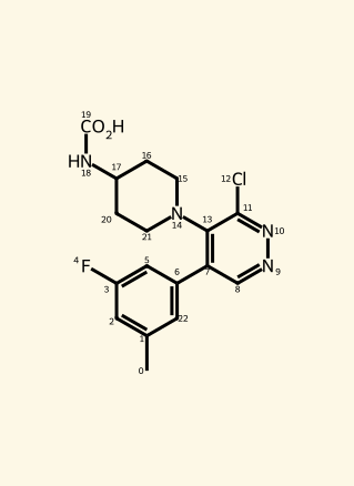 Cc1cc(F)cc(-c2cnnc(Cl)c2N2CCC(NC(=O)O)CC2)c1